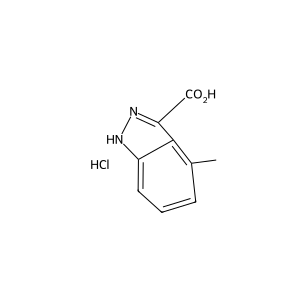 Cc1cccc2[nH]nc(C(=O)O)c12.Cl